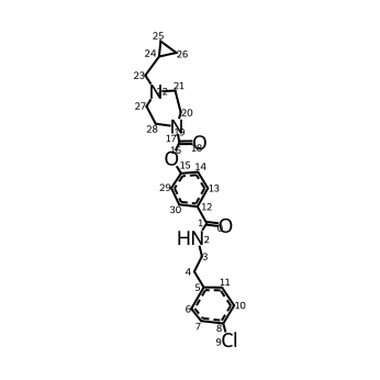 O=C(NCCc1ccc(Cl)cc1)c1ccc(OC(=O)N2CCN(CC3CC3)CC2)cc1